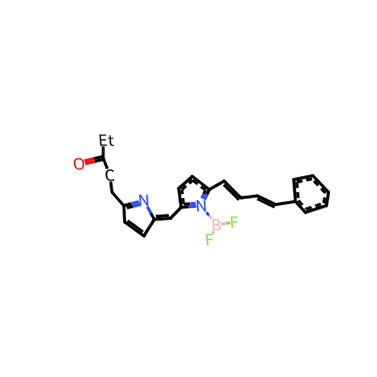 CCC(=O)CCC1=N/C(=C\c2ccc(/C=C/C=C/c3ccccc3)n2B(F)F)C=C1